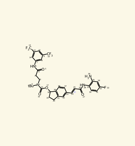 CC(C)(C)N(CCC(=O)Nc1cc(C(F)(F)F)cc(C(F)(F)F)c1)C(=O)OC1CCc2cc(/C=C/C(=O)Nc3ccc(F)cc3N)ccc21